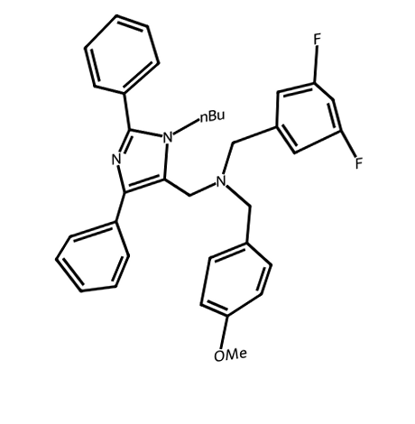 CCCCn1c(-c2ccccc2)nc(-c2ccccc2)c1CN(Cc1ccc(OC)cc1)Cc1cc(F)cc(F)c1